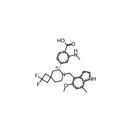 CNc1cc([C@H]2CC3(CCN2Cc2c(OC)cc(C)c4[nH]ccc24)CC(F)(F)C3)ccc1C(=O)O